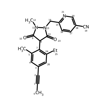 CC#Cc1cc(C)c(C2C(=O)N(C)N(Cc3ccc(C#N)cn3)C2=O)c(CC)c1